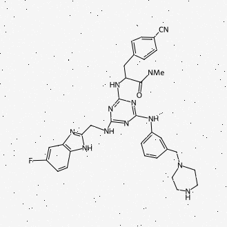 CNC(=O)C(Cc1ccc(C#N)cc1)Nc1nc(NCc2nc3cc(F)ccc3[nH]2)nc(Nc2cccc(CN3CCNCC3)c2)n1